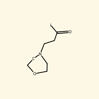 O=C(I)CCN1CCOCC1